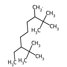 [CH2]C(CCCC(CC)C(C)(C)C)C(C)(C)C